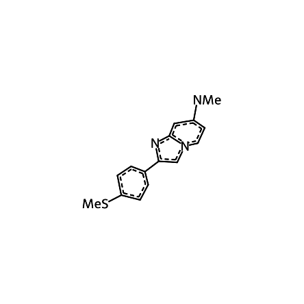 CNc1ccn2cc(-c3ccc(SC)cc3)nc2c1